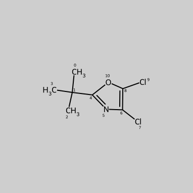 CC(C)(C)c1nc(Cl)c(Cl)o1